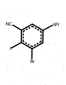 CCCc1cc(Br)c(I)c(C#N)c1